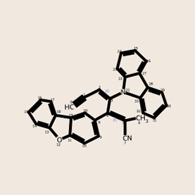 C#C/C=C(\C(=C(/C)C#N)c1ccc2oc3ccccc3c2c1)n1c2ccccc2c2ccccc21